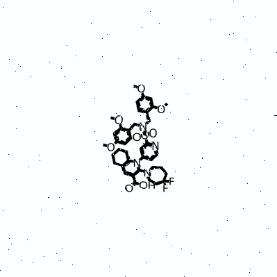 COc1ccc(CN(Cc2ccc(OC)cc2OC)S(=O)(=O)c2cc(N3C4=C(C=C(C(=O)O)C3N3CCCC(F)(F)CC3)CCCC4)ccn2)c(OC)c1